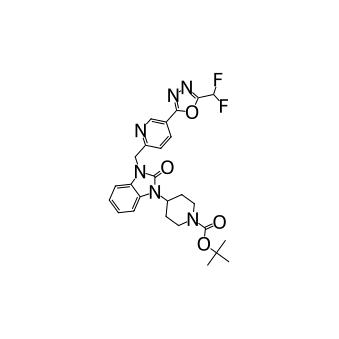 CC(C)(C)OC(=O)N1CCC(n2c(=O)n(Cc3ccc(-c4nnc(C(F)F)o4)cn3)c3ccccc32)CC1